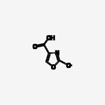 [O]c1nc(C(=O)O)co1